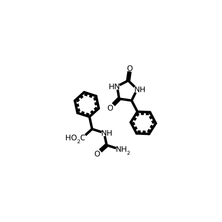 NC(=O)NC(C(=O)O)c1ccccc1.O=C1NC(=O)C(c2ccccc2)N1